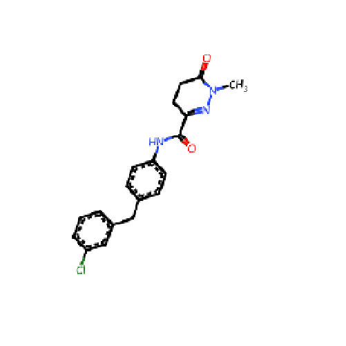 CN1N=C(C(=O)Nc2ccc(Cc3cccc(Cl)c3)cc2)CCC1=O